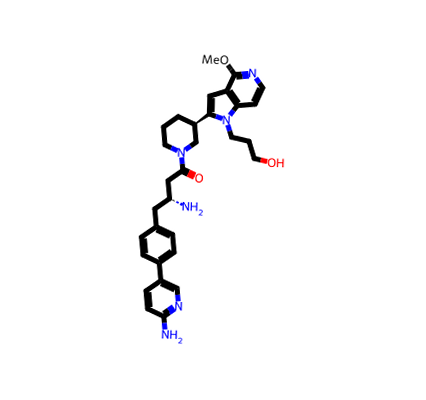 COc1nccc2c1cc([C@@H]1CCCN(C(=O)C[C@H](N)Cc3ccc(-c4ccc(N)nc4)cc3)C1)n2CCCO